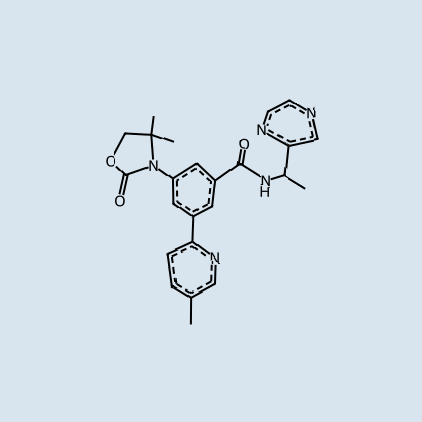 Cc1ccc(-c2cc(C(=O)NC(C)c3cnccn3)cc(N3C(=O)OCC3(C)C)c2)nc1